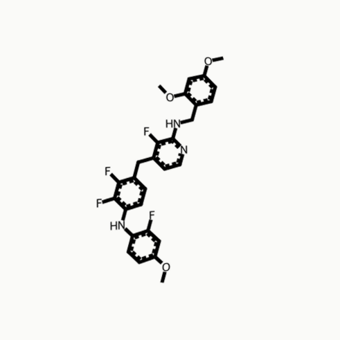 COc1ccc(Nc2ccc(Cc3ccnc(NCc4ccc(OC)cc4OC)c3F)c(F)c2F)c(F)c1